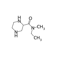 CCN(C)C(=O)C1CNCCN1